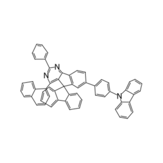 c1ccc(-c2nc3c(c(-c4cccc5ccccc45)n2)C2(c4ccccc4-c4ccccc42)c2cc(-c4ccc(-n5c6ccccc6c6ccccc65)cc4)ccc2-3)cc1